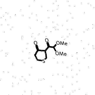 COC(OC)C(=O)C1CSCCC1=O